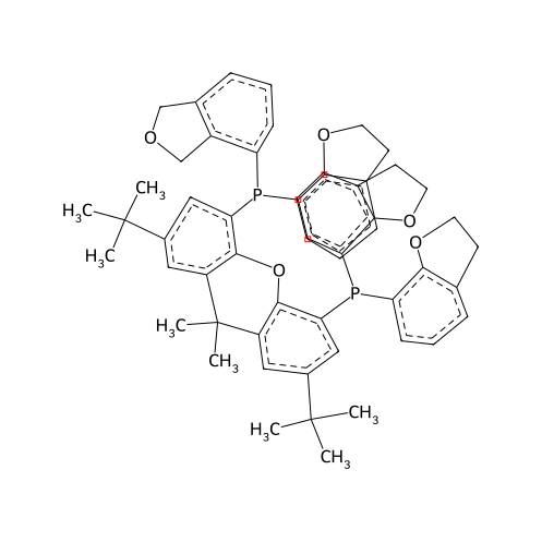 CC(C)(C)c1cc(P(c2cccc3c2COC3)c2cccc3c2OCC3)c2c(c1)C(C)(C)c1cc(C(C)(C)C)cc(P(c3cccc4c3OCC4)c3cccc4c3OCC4)c1O2